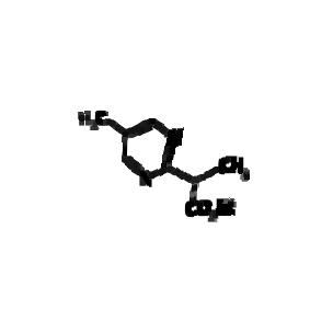 CCOC(=O)C(C)c1ncc(C)cn1